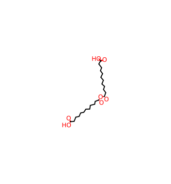 O=C(O)CCCCCCCCCCC(=O)OC(=O)CCCCCCCCCCC(=O)O